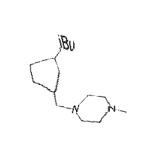 CCC(C)C1CCC(CN2CCN(C)CC2)C1